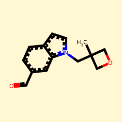 CC1(Cn2ccc3ccc(C=O)cc32)COC1